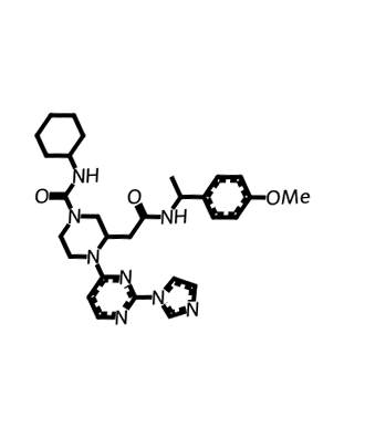 COc1ccc(C(C)NC(=O)CC2CN(C(=O)NC3CCCCC3)CCN2c2ccnc(-n3ccnc3)n2)cc1